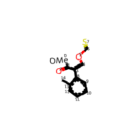 COC(=O)C(=COC=S)c1ccccc1C